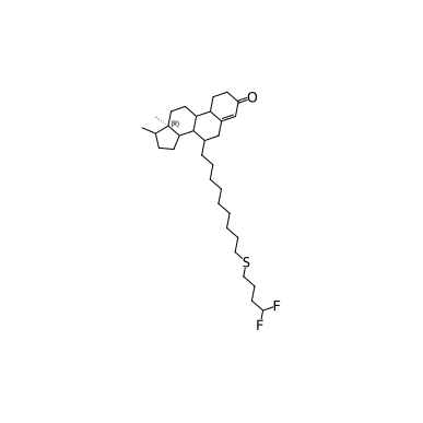 CC1CCC2C3C(CCCCCCCCCSCCCC(F)F)CC4=CC(=O)CCC4C3CC[C@]12C